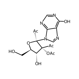 CC(=O)O[C@]1(C(C)=O)[C@H](O)[C@@H](CO)O[C@@]1(C(C)=O)n1cnc2c(O)ncnc21